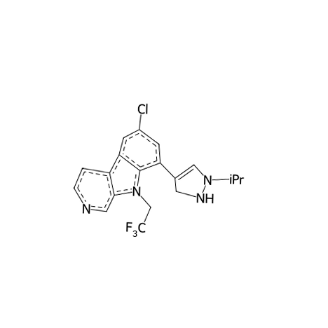 CC(C)N1C=C(c2cc(Cl)cc3c4ccncc4n(CC(F)(F)F)c23)CN1